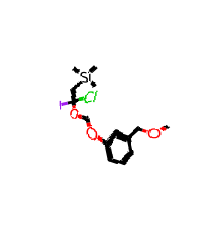 COCc1cccc(OCOC(Cl)(I)C[Si](C)(C)C)c1